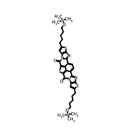 C[Si](C)(C)OCCCCCc1cc2c(nc3c4ccc5c6c(sc(c(=O)n23)c46)c(=O)n2c3cc(CCCCCO[Si](C)(C)C)sc3nc52)s1